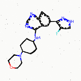 Fc1c[nH]nc1-c1ccc2ncnc(NC3CCC(N4CCOCC4)CC3)c2c1